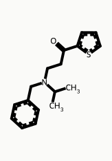 CC(C)N(CCC(=O)c1cccs1)Cc1ccccc1